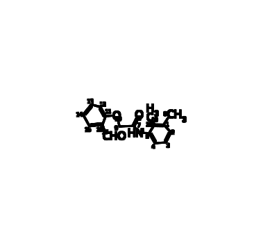 Cc1cccc(NC(=O)COc2ccccc2C=O)c1C